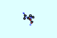 N#Cc1cccc(-c2cccc(-n3c4ccccc4c4cccc(-c5cccc(-n6c7ccccc7c7cc(C#N)ccc76)c5)c43)c2)c1